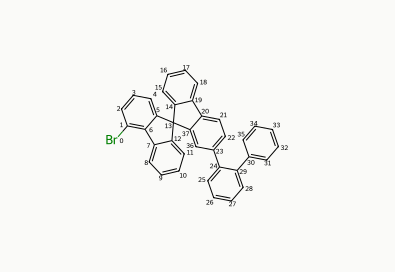 Brc1cccc2c1-c1ccccc1C21c2ccccc2-c2ccc(-c3ccccc3-c3ccccc3)cc21